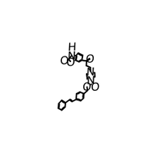 O=C(CCN1CCN(C(=O)OCc2ccc(C=Cc3ccccc3)cc2)CC1)c1ccc2[nH]c(=O)oc2c1